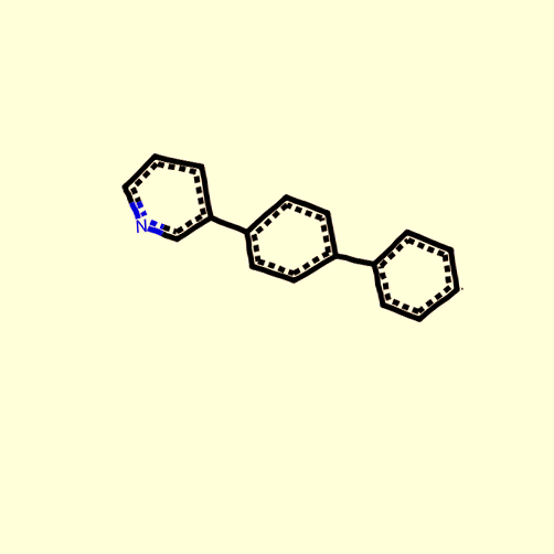 [c]1ccc(-c2ccc(-c3cccnc3)cc2)cc1